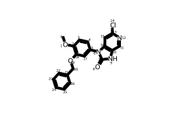 COc1ccc(-n2c(=O)[nH]c3cnc(Cl)cc32)cc1OCc1ccccc1